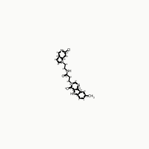 Cc1ccc2[nH]c3c(=O)n(CCC(=O)NCCn4ccc5cnc(Cl)cc54)cnc3c2c1